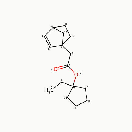 CCC1(OC(=O)CC23C=CC(CC2)C3)CCCC1